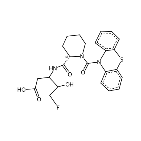 O=C(O)CC(NC(=O)[C@@H]1CCCCN1C(=O)N1c2ccccc2Sc2ccccc21)C(O)CF